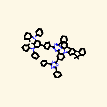 CC1(C)c2ccccc2-c2cc3c4ccccc4n(-c4ccc(-c5nc(-c6ccccc6)nc(-c6ccccc6)n5)cc4-c4nc(-c5ccccc5)nc(-c5ccc(-c6cc7c8c(c6)N(c6ccccc6)c6ccccc6B8c6ccccc6N7c6ccccc6)cc5)n4)c3cc21